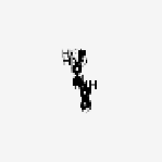 CC(C)(C)[C@H](O)C(=O)Nc1ccc(-c2ccnc(Nc3ccc(N4CCOCC4)cc3)n2)cc1